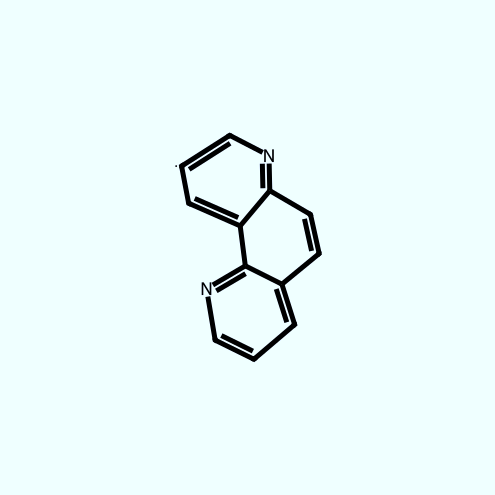 [c]1cnc2ccc3cccnc3c2c1